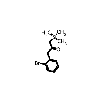 C[Si](C)(C)CC(=O)Cc1ccccc1Br